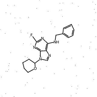 Fc1nc(NCc2ccccc2)c2ncn(C3CCCCO3)c2n1